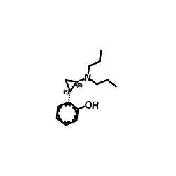 CCCN(CCC)[C@@H]1C[C@H]1c1ccccc1O